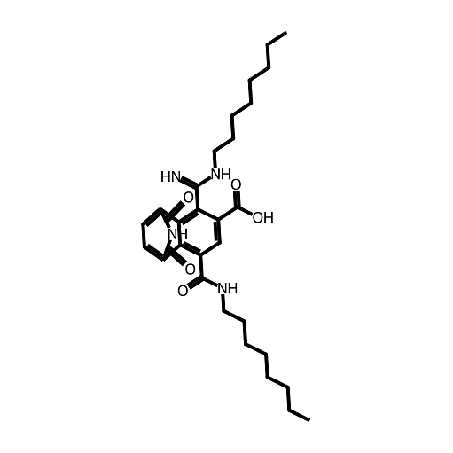 CCCCCCCCNC(=N)c1c(C(=O)O)cc(C(=O)NCCCCCCCC)c2c3ccc(c(=O)[nH]c3=O)c12